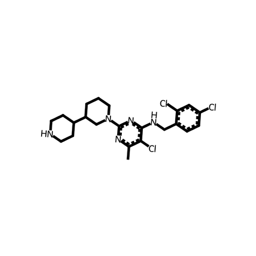 Cc1nc(N2CCCC(C3CCNCC3)C2)nc(NCc2ccc(Cl)cc2Cl)c1Cl